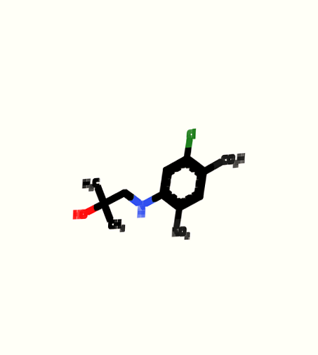 CC(C)(O)CNc1cc(Cl)c(C(=O)O)cc1[N+](=O)[O-]